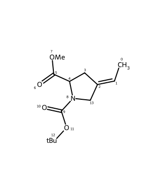 C/C=C1\CC(C(=O)OC)N(C(=O)OC(C)(C)C)C1